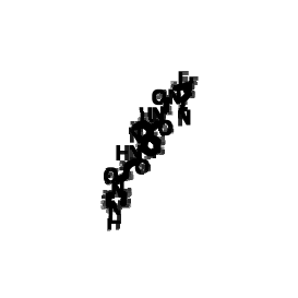 N#C[C@@H]1CC(F)(F)CN1C(=O)CNC(=O)c1ccnc2c(NC(=O)CCC(=O)N3CCNCC3)cccc12